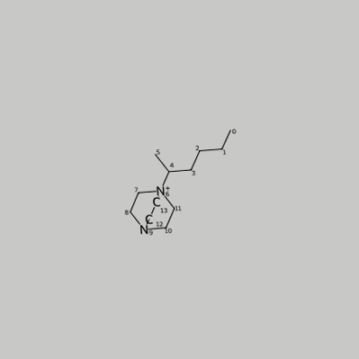 CCCCC(C)[N+]12CCN(CC1)CC2